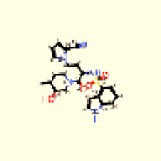 CC1CCN(C(=O)C(CCn2cccc2C#N)NS(=O)(=O)c2cccc3[nH]ccc23)CC1O